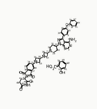 Nc1ncnc2c1c(-c1ccc(Oc3ccccc3)cc1)nn2C1CCN(C2CN(C3CN(c4ccc5c(c4)C(=O)N(C4CCC(=O)NC4=O)C5=O)C3)C2)CC1.O=C(O)c1ccccc1O